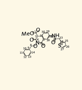 COC(=O)C1C(=O)N(OCc2ccccc2)C(=O)c2cc(NC(=O)Cc3cccs3)ccc21